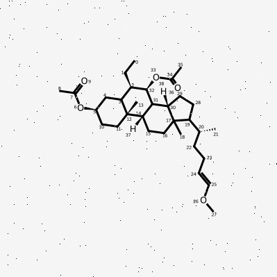 CC[C@@H]1C2C[C@H](OC(C)=O)CC[C@@]2(C)[C@H]2CCC3(C)C([C@H](C)CC/C=C/OC)CC[C@H]3C2[C@@H]1OC(C)=O